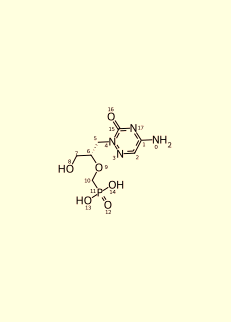 Nc1cnn(C[C@@H](CO)OCP(=O)(O)O)c(=O)n1